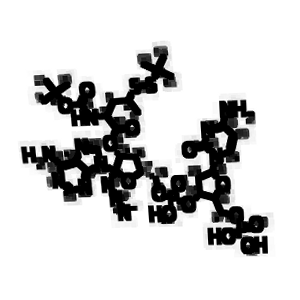 CC(CC(NC(=O)OC(C)(C)C)C(=O)O[C@@H]1C[C@H](COP(=O)(O)O[C@H]2CC(n3ccc(N)nc3=O)OC2COP(=O)(O)O)O[C@@]1(N=[N+]=[N-])n1cnc2c(N)ncnc21)SSC(C)(C)C